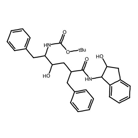 CC(C)(C)OC(=O)NC(Cc1ccccc1)C(O)CC(Cc1ccccc1)C(=O)NC1c2ccccc2CC1O